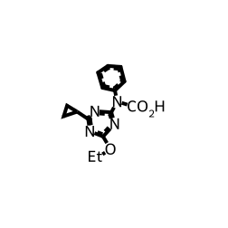 CCOc1nc(C2CC2)nc(N(C(=O)O)c2ccccc2)n1